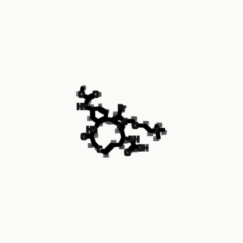 COC(=O)Nc1ccc2c(c1)NC(=O)CC/C=C/C[C@H](NC(=O)O)c1nc-2c(Br)n1COCC[Si](C)(C)C